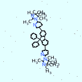 CC1=NC(C)(C)C(C)(C)N1c1ccc(-c2ccc3c(c2)C(c2ccccc2)(c2ccccc2)c2cc(-c4ccc(N5C(C)=NC(C)(C)C5(C)C)nc4)ccc2-3)cn1